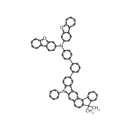 CC1(C)c2ccccc2-c2c1ccc1cc3c(cc21)c1cc(-c2cccc(-c4ccc(N(c5ccc6c(c5)oc5ccccc56)c5ccc6c(c5)oc5ccccc56)cc4)c2)ccc1n3-c1ccccc1